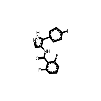 O=C(Nc1cn[nH]c1-c1ccc(I)cc1)c1c(F)cccc1F